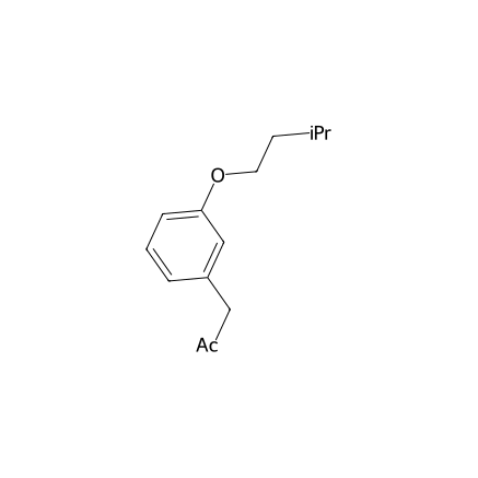 CC(=O)Cc1cccc(OCCC(C)C)c1